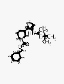 CC(C)(C)OC(=O)Nc1csnc1C1CCCN(C(=O)OCc2ccccc2)C1